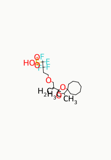 C=C(COCCC(F)(F)C(F)(F)S(=O)(=O)O)C(=O)OC1(C(C)C)CCCCCCC1